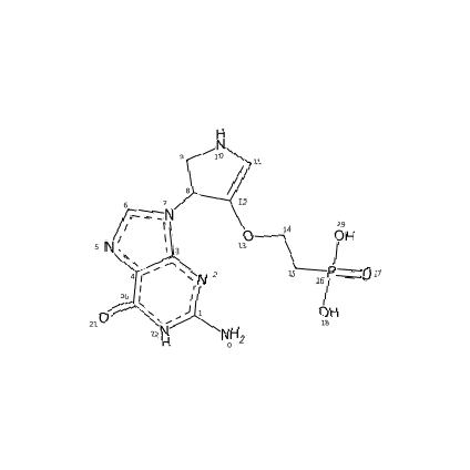 Nc1nc2c(ncn2C2CNC=C2OCCP(=O)(O)O)c(=O)[nH]1